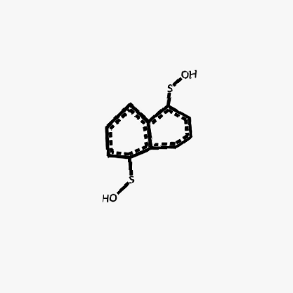 OSc1cccc2c(SO)cccc12